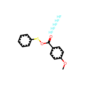 COc1ccc(C(=O)OSc2ccccc2)cc1.F.F.F.F.F